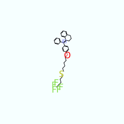 FC(F)(F)C(F)(F)CCCSCCCCCCOc1ccc(/C(=C2\CCCc3ccccc32)c2ccccc2)cc1